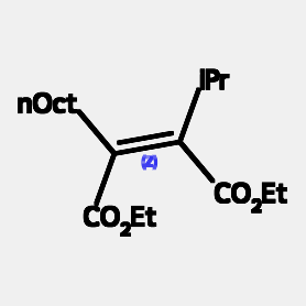 CCCCCCCC/C(C(=O)OCC)=C(/C(=O)OCC)C(C)C